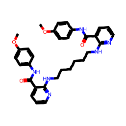 COc1ccc(NC(=O)c2cccnc2NCCCCCCNc2ncccc2C(=O)Nc2ccc(OC)cc2)cc1